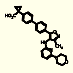 Cc1noc(-c2ccc(-c3ccc(C4(C(=O)O)CC4)cc3)cc2)c1Nc1cccc(N2CCOCC2)n1